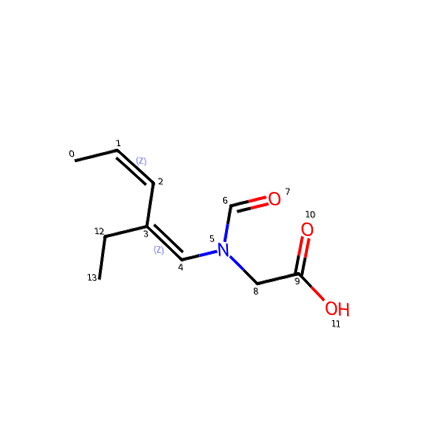 C/C=C\C(=C/N(C=O)CC(=O)O)CC